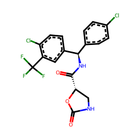 O=C1NC[C@@H](C(=O)N[C@H](c2ccc(Cl)cc2)c2ccc(Cl)c(C(F)(F)F)c2)O1